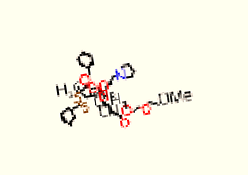 COCCOCCOC(=O)CCC(C)(C#N)CC(C)(CC(C)(SC(=S)c1ccccc1)C(=O)OCc1ccccc1)C(=O)OCCN1CCCCC1